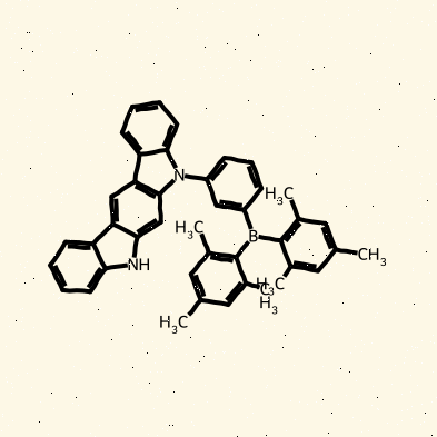 Cc1cc(C)c(B(c2cccc(-n3c4ccccc4c4cc5c(cc43)[nH]c3ccccc35)c2)c2c(C)cc(C)cc2C)c(C)c1